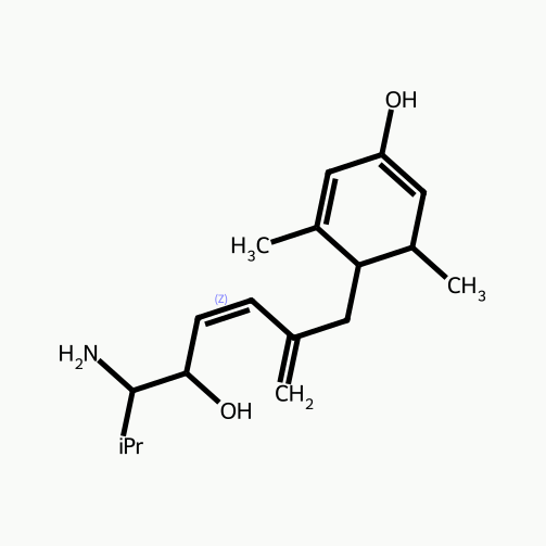 C=C(/C=C\C(O)C(N)C(C)C)CC1C(C)=CC(O)=CC1C